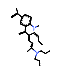 C=C(C)c1ccc(NC)c(C(=C)C(/C=C\CC)=C/C=C(\C)N(CCC)CCC)c1